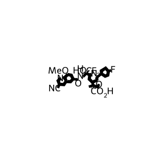 COc1cc(C(=O)NC[C@](O)(c2cc3c(c(-c4ccc(F)cc4)n2)OC[C@]3(C)C(=O)O)C(F)(F)F)cc2cc(C#N)cnc12